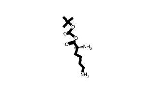 CC(C)(C)OC(=O)OC(=O)[C@@H](N)CCCCN